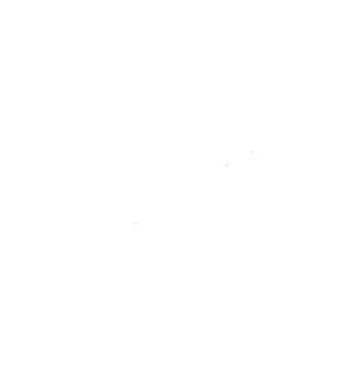 O=C(O)c1cccn1C(=O)CCCCC(=O)n1cccc1C(=O)O